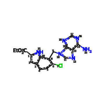 CCOC(=O)c1cc2ccc(Cl)c(Cn3cnc4c(N)ncnc43)c2[nH]1